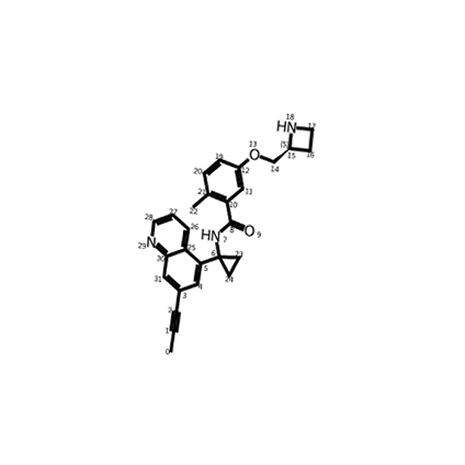 CC#Cc1cc(C2(NC(=O)c3cc(OC[C@@H]4CCN4)ccc3C)CC2)c2cccnc2c1